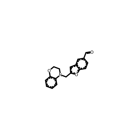 O=Cc1ccc2oc(CN3CCOc4ccccc43)cc2c1